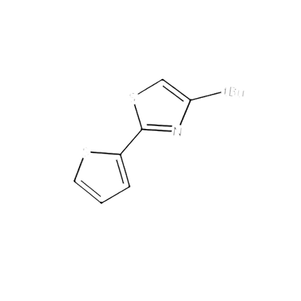 CC(C)(C)c1csc(-c2cccs2)n1